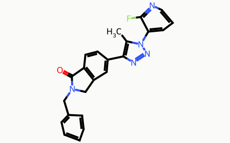 Cc1c(-c2ccc3c(c2)CN(Cc2ccccc2)C3=O)nnn1-c1cccnc1F